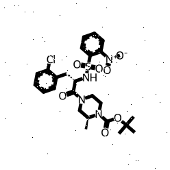 C[C@H]1CN(C(=O)[C@H](Cc2ccccc2Cl)NS(=O)(=O)c2ccccc2[N+](=O)[O-])CCN1C(=O)OC(C)(C)C